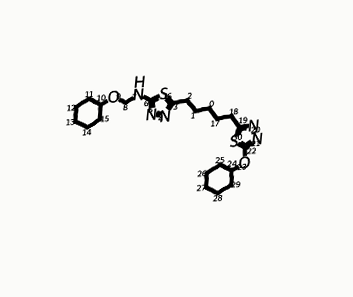 C(CCc1nnc(NCOC2CCCCC2)s1)CCc1nnc(OC2CCCCC2)s1